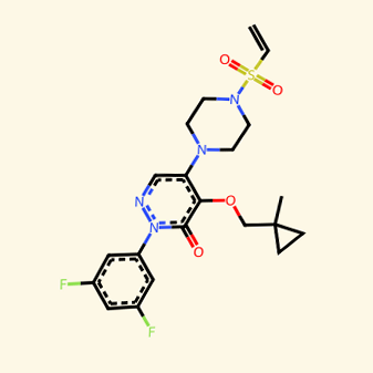 C=CS(=O)(=O)N1CCN(c2cnn(-c3cc(F)cc(F)c3)c(=O)c2OCC2(C)CC2)CC1